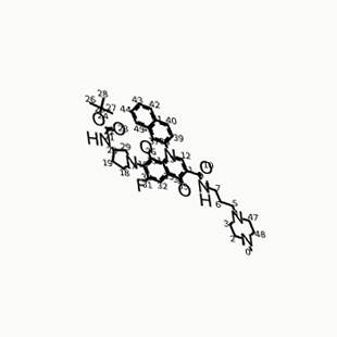 CN1CCN(CCCNC(=O)c2cn3c4c(c(N5CC[C@@H](NC(=O)OC(C)(C)C)C5)c(F)cc4c2=O)Oc2c-3ccc3ccccc23)CC1